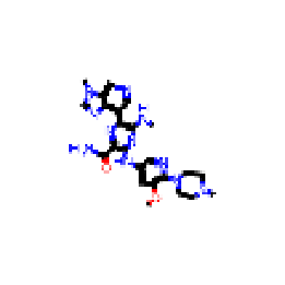 CNc1nc(Nc2cnc(N3CCN(C)CC3)c(OC)c2)c(C(N)=O)nc1-c1cncc2c1ncn2C